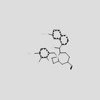 C=CC1CCC(C(O)c2ccnc3ccc(OC)cc23)[N+]2(Cc3ccc(OC)c(Cl)c3Cl)CCC2C1